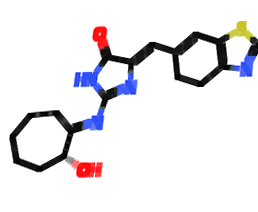 O=C1NC(/N=C2\CCCCC[C@H]2O)=NC/1=C\C1=Cc2scnc2CC1